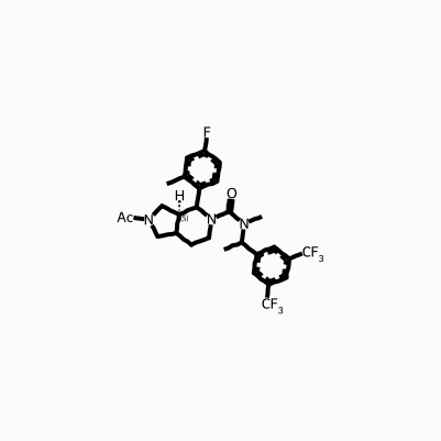 CC(=O)N1CC2CCN(C(=O)N(C)C(C)c3cc(C(F)(F)F)cc(C(F)(F)F)c3)C(c3ccc(F)cc3C)[C@@H]2C1